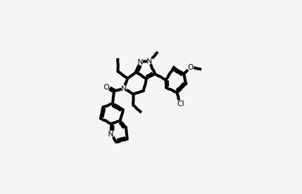 CCC1Cc2c(nn(C)c2-c2cc(Cl)cc(OC)c2)C(CC)N1C(=O)c1ccc2ncccc2c1